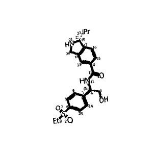 CCS(=O)(=O)c1ccc([C@H](CO)NC(=O)c2ccc3c(c2)CN[C@@H]3C(C)C)cc1